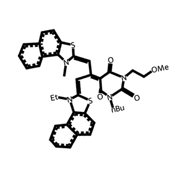 CCCCN1C(=O)/C(=C(/C=C2Sc3ccc4ccccc4c3N2C)C=C2Sc3ccc4ccccc4c3N2CC)C(=O)N(CCOC)C1=O